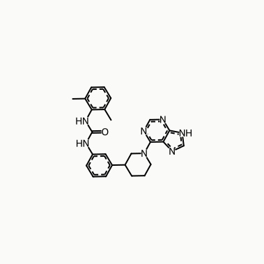 Cc1cccc(C)c1NC(=O)Nc1cccc(C2CCCN(c3ncnc4[nH]cnc34)C2)c1